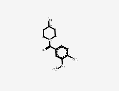 COc1cc(C(=O)N2CCC(O)CC2)ccc1N